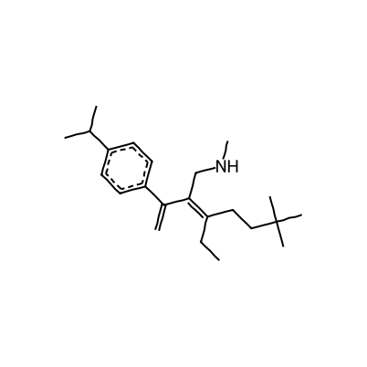 C=C(/C(CNC)=C(\CC)CCC(C)(C)C)c1ccc(C(C)C)cc1